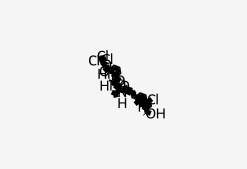 Cc1c(/C=C/C(C)(C)C(=O)N[C@H](C(=O)N[C@@H](C)C(=O)N2CCC[C@@H](C(=O)OCC(Cl)(Cl)Cl)N2)C(C)C)ccc2c(Cl)cc([C@@H](C)O)nc12